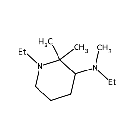 CCN(C)C1CCCN(CC)C1(C)C